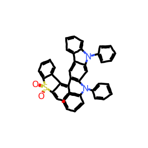 O=S1(=O)c2ccccc2-c2c(-c3cc4c5ccccc5n(-c5ccccc5)c4cc3N(c3ccccc3)c3ccccc3)cccc21